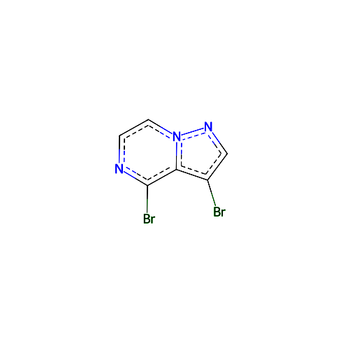 Brc1cnn2ccnc(Br)c12